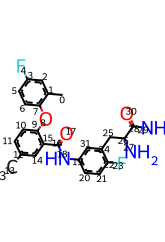 Cc1cc(F)ccc1Oc1ccc(C(F)(F)F)cc1C(=O)Nc1ccc(F)c(CC(N)C(N)=O)c1